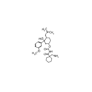 COc1cccc(C2(O)CC(OC(=O)NC(=O)C3(CN)CCCCC3)CCC2CN(C)C)c1